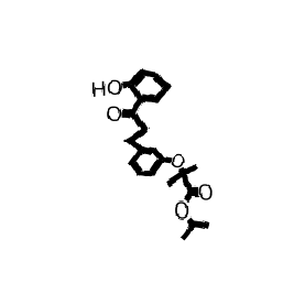 CC(C)OC(=O)C(C)(C)Oc1cccc(/C=C/C(=O)c2ccccc2O)c1